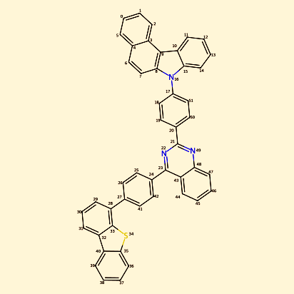 c1ccc2c(c1)ccc1c2c2ccccc2n1-c1ccc(-c2nc(-c3ccc(-c4cccc5c4sc4ccccc45)cc3)c3ccccc3n2)cc1